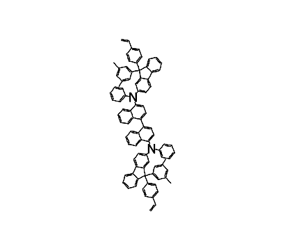 C=Cc1ccc(C2(c3cc(C)cc(C)c3)c3ccccc3-c3ccc(N(c4ccccc4)c4ccc(-c5ccc(N(c6ccccc6)c6ccc7c(c6)C(c6ccc(C=C)cc6)(c6cc(C)cc(C)c6)c6ccccc6-7)c6ccccc56)c5ccccc45)cc32)cc1